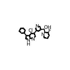 OC(c1cncc(-c2cnc3[nH]cc(-c4ccccc4)c3c2Cl)c1)c1ncccc1F